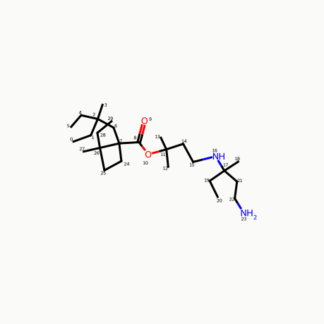 CCC(C)(CC)CC1(C(=O)OC(C)(C)CCNC(C)(CC)CCN)CCC1(C)CC